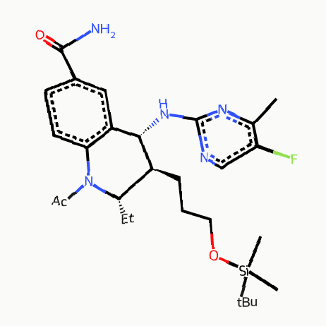 CC[C@H]1[C@H](CCCO[Si](C)(C)C(C)(C)C)[C@@H](Nc2ncc(F)c(C)n2)c2cc(C(N)=O)ccc2N1C(C)=O